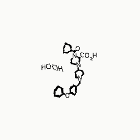 Cl.Cl.O=C(O)C1CN(C2CCN(Cc3ccc(Oc4ccccc4)cc3)CC2)CCN1C(=O)C1CCCCC1